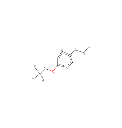 CCCc1ccc(OCC(C)(C)C)cc1